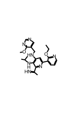 CCOc1ncccc1-c1cc(NCc2cncnc2OC)c(NC(C)C)c(C(C)=N)n1